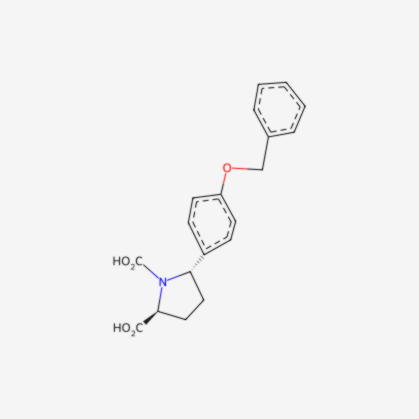 O=C(O)[C@@H]1CC[C@@H](c2ccc(OCc3ccccc3)cc2)N1C(=O)O